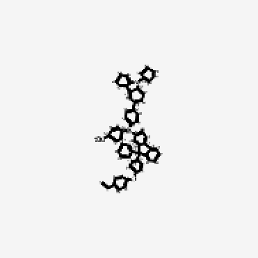 C=Cc1ccc(Oc2ccc(C3(c4ccccc4)c4ccccc4-c4ccc(N(c5ccc(-c6ccc7c(c6)c6ccccc6n7-c6ccccc6)cc5)c5ccc(C(C)(C)C)cc5)cc43)cc2)cc1